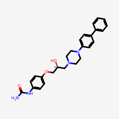 NC(=O)Nc1ccc(OC[C@@H](O)CN2CCN(c3ccc(-c4ccccc4)cc3)CC2)cc1